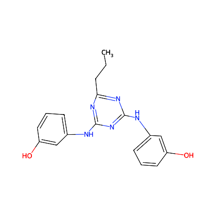 CCCc1nc(Nc2cccc(O)c2)nc(Nc2cccc(O)c2)n1